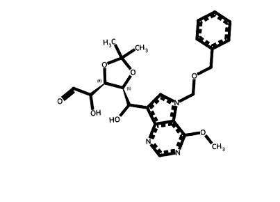 COc1ncnc2c(C(O)[C@@H]3OC(C)(C)O[C@@H]3C(O)C=O)cn(COCc3ccccc3)c12